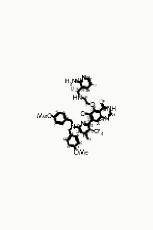 COc1ccc(CN(Cc2ccc(OC)cc2)c2cc(C)c(C(F)(F)F)c(-c3cc4nc[nH]c(=O)c4c(OCCN[C@H](C)c4cccnc4N)c3Cl)n2)cc1